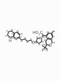 Cc1cc2c(c([C@H](C(=O)O)N3CC[C@@H](OCCCCc4ccc5c(n4)NCCC5)C3)c1)CC(C(C)(C)F)OC2